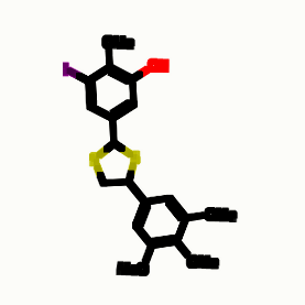 COc1cc(C2CSC(c3cc(O)c(OC)c(I)c3)S2)cc(OC)c1OC